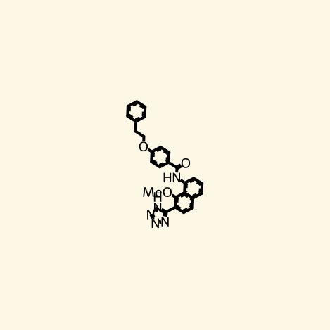 COc1c(-c2nnn[nH]2)ccc2cccc(NC(=O)c3ccc(OCCc4ccccc4)cc3)c12